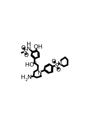 CS(=O)(=O)Nc1cc([C@H](O)CC2CC(N)CCN2c2ccc(S(=O)(=O)N3CCCCC3)cc2)ccc1O